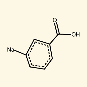 O=C(O)c1ccc[c]([Na])c1